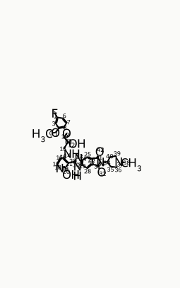 COc1cc(F)ccc1OC[C@H](O)CNc1ccnc(O)c1-c1nc2cc3c(cc2[nH]1)C(=O)N(C1CCN(C)CC1)C3=O